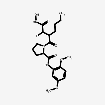 CCCCC(C(=O)N1CCCC1C(=O)Nc1cc(OC)ccc1OC)C(F)C(=O)NO